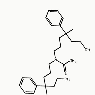 CC(CCO)(CCCN(CCCC(C)(CCO)c1ccccc1)C(N)=S)c1ccccc1